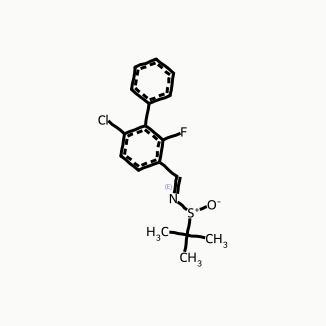 CC(C)(C)[S+]([O-])/N=C/c1ccc(Cl)c(-c2ccccc2)c1F